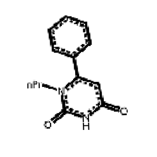 CCCn1c(-c2ccccc2)cc(=O)[nH]c1=O